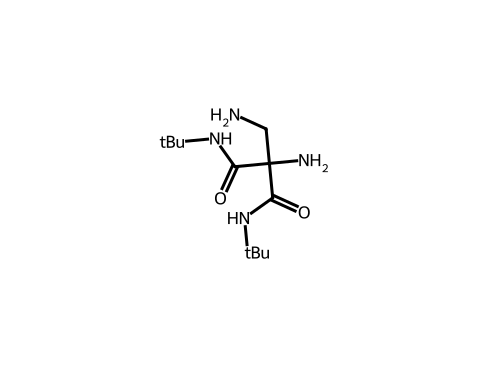 CC(C)(C)NC(=O)C(N)(CN)C(=O)NC(C)(C)C